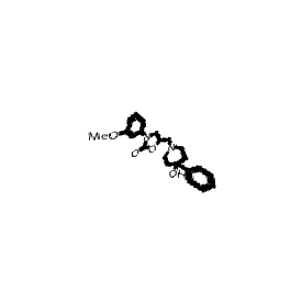 COc1cccc(N2CC(CN3CCC(O)(c4ccccc4)CC3)OC2=O)c1